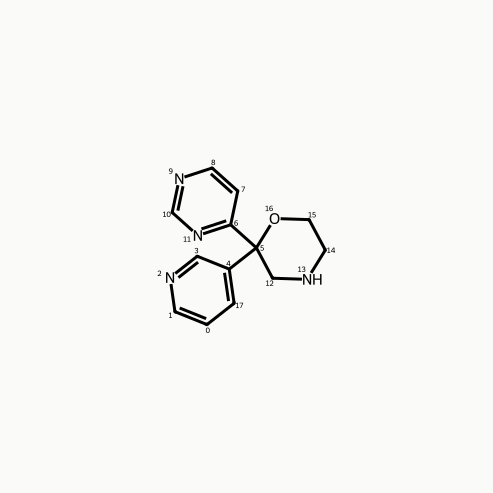 c1cncc(C2(c3ccncn3)CNCCO2)c1